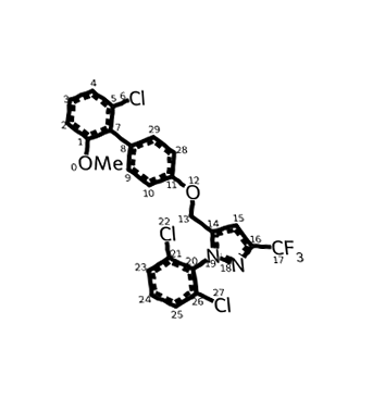 COc1cccc(Cl)c1-c1ccc(OCc2cc(C(F)(F)F)nn2-c2c(Cl)cccc2Cl)cc1